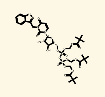 CC(C)(C)C(=O)OCOP(=O)(OCOC(=O)C(C)(C)C)OP(=O)(OCOC(=O)C(C)(C)C)OC[C@H]1O[C@@H](n2ccc(=O)n(Cc3noc4ccccc34)c2=O)[C@@H](O)C1O